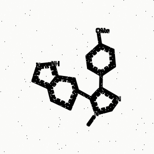 COc1ccc(-c2ncn(C)c2-c2ccc3cn[nH]c3c2)cc1